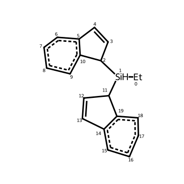 CC[SiH](C1C=Cc2ccccc21)C1C=Cc2ccccc21